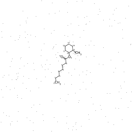 CCCCCCCC(=O)OC1CCCCC1C